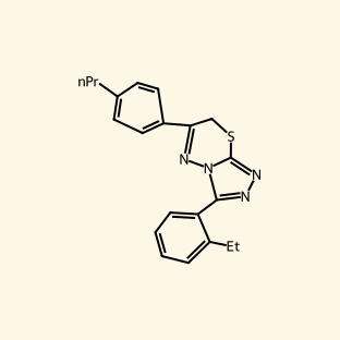 CCCc1ccc(C2=Nn3c(nnc3-c3ccccc3CC)SC2)cc1